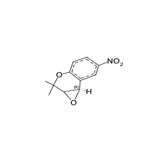 CC1(C)Oc2ccc([N+](=O)[O-])cc2[C@H]2OC21